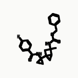 CC1(NC(=O)OCc2ccccc2)CC2(C3(NC(=O)c4ccc(F)cc4)CC3)CC12